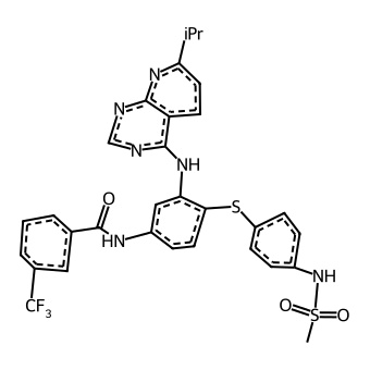 CC(C)c1ccc2c(Nc3cc(NC(=O)c4cccc(C(F)(F)F)c4)ccc3Sc3ccc(NS(C)(=O)=O)cc3)ncnc2n1